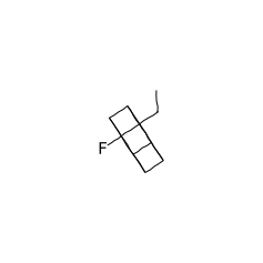 CCC12C3C4C5C3C1(F)C5C42